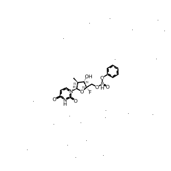 C[C@@H]1[C@H](n2ccc(=O)[nH]c2=O)O[C@](F)(CO[PH](=O)Oc2ccccc2)[C@H]1O